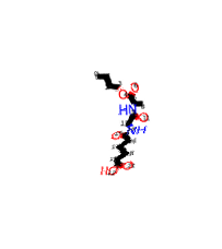 CCCCOC(=O)C(C)NC(=O)CNC(=O)CCCCC(=O)O